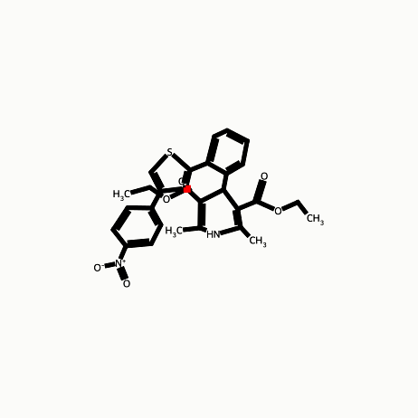 CCOC(=O)C1=C(C)NC(C)=C(C(=O)OCC)C1c1ccccc1-c1nc(-c2ccc([N+](=O)[O-])cc2)cs1